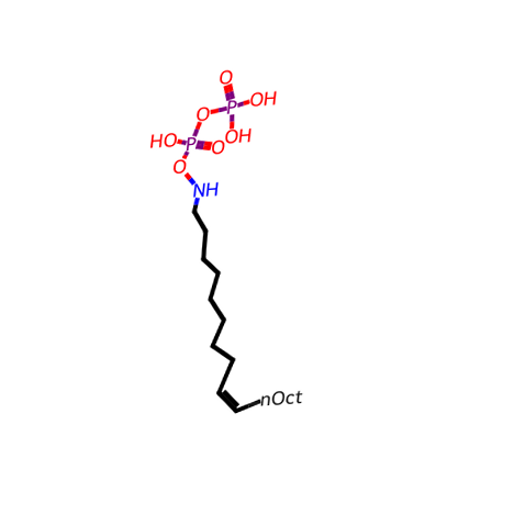 CCCCCCCC/C=C\CCCCCCCCNOP(=O)(O)OP(=O)(O)O